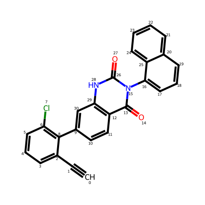 C#Cc1cccc(Cl)c1-c1ccc2c(=O)n(-c3cccc4ccccc34)c(=O)[nH]c2c1